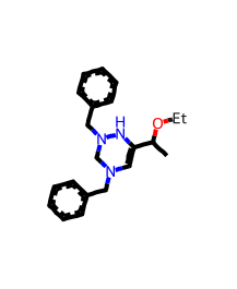 CCOC(C)C1=CN(Cc2ccccc2)CN(Cc2ccccc2)N1